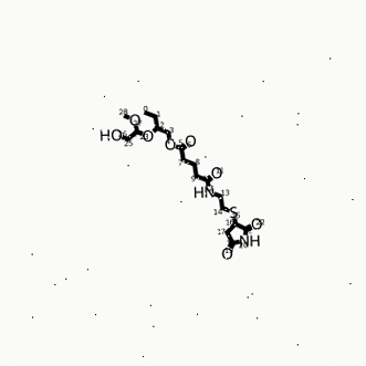 CCC(COC(=O)CCCC(=O)NCCSC1CC(=O)NC1=O)OC(CO)OC